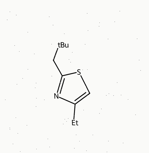 CCc1csc(CC(C)(C)C)n1